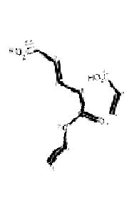 C=CC(=O)O.C=COC(=O)CC=CC(=O)O